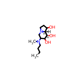 CCCCN(C)C1CN2CCC(O)[C@@H]2[C@@H](O)C1O